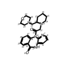 O=C1Nc2cccnc2N(C(=O)CN2CCCCC2CN2CCOCC2)c2ccccc21